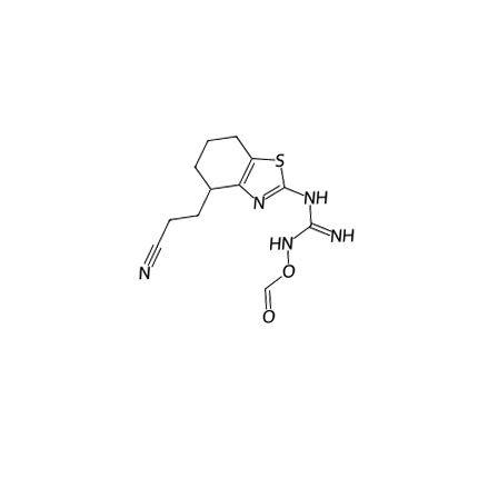 N#CCCC1CCCc2sc(NC(=N)NOC=O)nc21